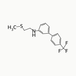 CSCCNc1cccc(-c2ccc(C(F)(F)F)cc2)c1